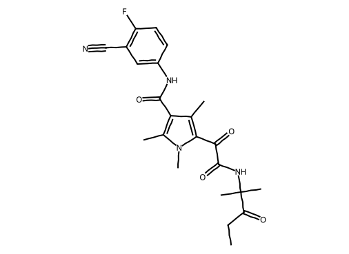 CCC(=O)C(C)(C)NC(=O)C(=O)c1c(C)c(C(=O)Nc2ccc(F)c(C#N)c2)c(C)n1C